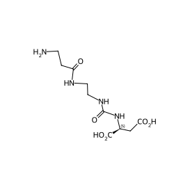 NCCC(=O)NCCNC(=O)N[C@@H](CC(=O)O)C(=O)O